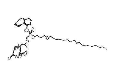 CCCCCCCCCCCCCCCCOCCCOP(=O)(COC(C)Cn1ccc(=O)[nH]c1=O)Oc1cccc2ccccc12